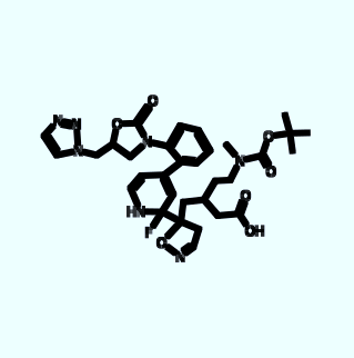 CN(CCC(CC(=O)O)CC1(C2(F)C=C(c3ccccc3N3CC(Cn4ccnn4)OC3=O)C=CN2)CC=NO1)C(=O)OC(C)(C)C